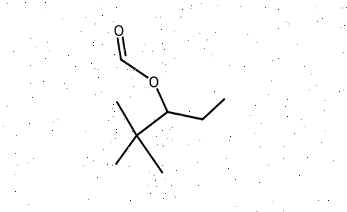 CCC(OC=O)C(C)(C)C